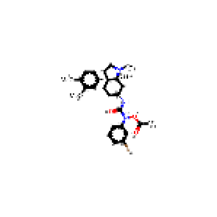 COc1ccc([C@@]23CC[C@@H](NC(=O)N(OC(=O)C(F)(F)F)c4cccc(Br)c4)C[C@@H]2N(C)CC3)cc1OC